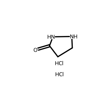 Cl.Cl.O=C1CCNN1